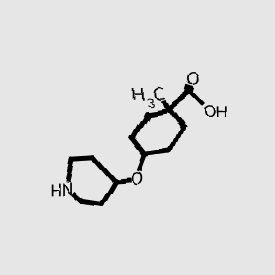 CC1(C(=O)O)CCC(OC2CCNCC2)CC1